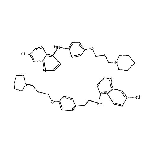 Clc1ccc2c(NCCc3ccc(OCCCN4CCCCC4)cc3)ccnc2c1.Clc1ccc2c(Nc3ccc(OCCCN4CCCCC4)cc3)ccnc2c1